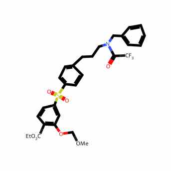 CCOC(=O)c1ccc(S(=O)(=O)c2ccc(CCCN(Cc3ccccc3)C(=O)C(F)(F)F)cc2)cc1OCOC